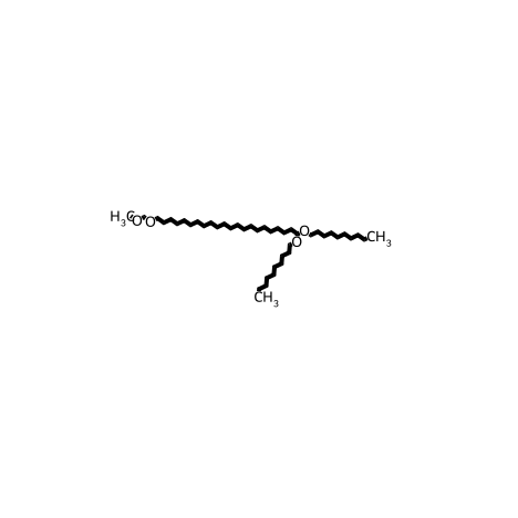 CCCCCCCCCCOC(CCCCCCCCCCCCCCCCCCCCCOCOC)OCCCCCCCCCC